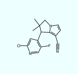 CC1(C)Cn2ccc(C#N)c2C1c1cc(Cl)ncc1F